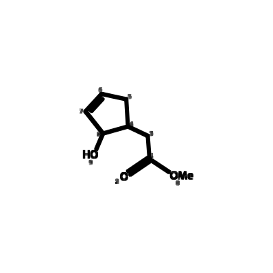 COC(=O)CC1CC=CC1O